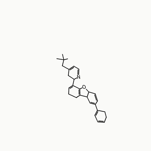 CC(C)(C)CC1=CC=NC(C2=CCCC3=C2OC2C=CC(C4=CC=CCC4)=CC32)C1